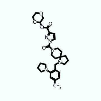 O=C(OC1COCCO1)c1ccn(C(=O)N2CCC3(CCCN3Cc3ccc(C(F)(F)F)cc3N3CCCC3)CC2)n1